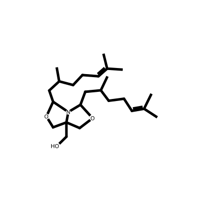 CC(C)=CCCC(C)CC1OCC2(CO)COC(CC(C)CCC=C(C)C)N12